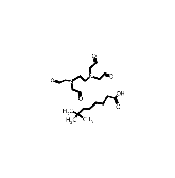 CC(C)(C)CCCCCC(=O)O.O=CCN(CC=O)CCN(CC=O)CC=O